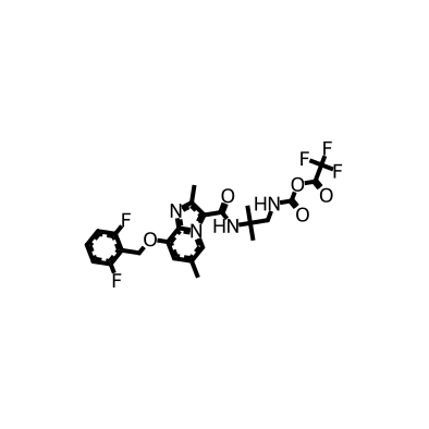 Cc1cc(OCc2c(F)cccc2F)c2nc(C)c(C(=O)NC(C)(C)CNC(=O)OC(=O)C(F)(F)F)n2c1